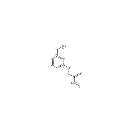 CNC(=O)COc1cccc(CS)c1